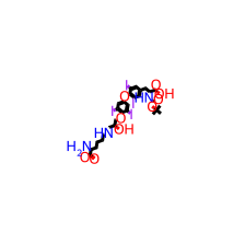 COC(=O)C(N)CCCCNCC(O)COc1c(I)cc(Oc2c(I)cc(CC(NC(=O)OC(C)(C)C)C(=O)O)cc2I)cc1I